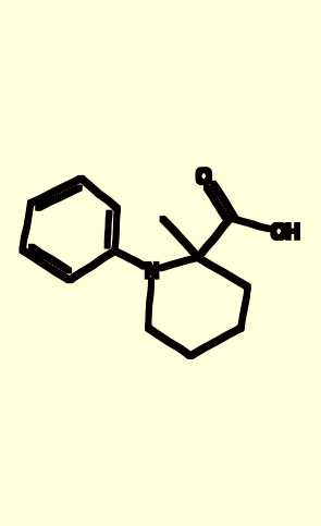 CC1(C(=O)O)CCCCN1c1ccccc1